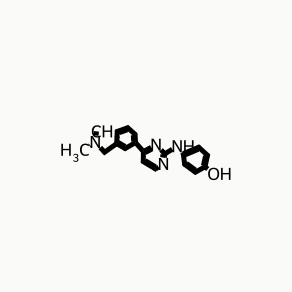 CN(C)Cc1cccc(-c2ccnc(Nc3ccc(O)cc3)n2)c1